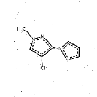 Cn1cc(Cl)c(-n2cccn2)n1